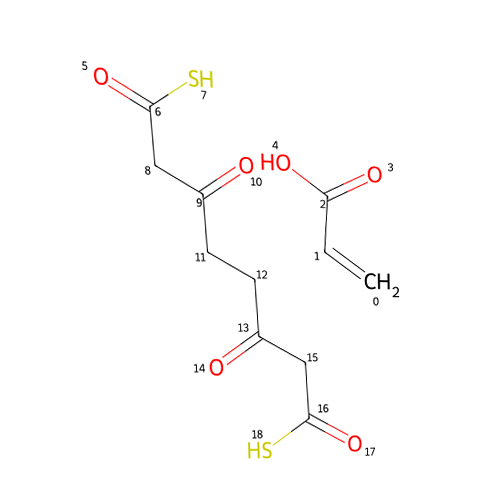 C=CC(=O)O.O=C(S)CC(=O)CCC(=O)CC(=O)S